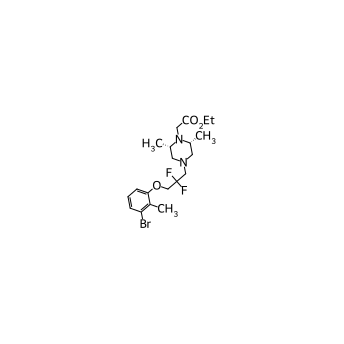 CCOC(=O)CN1[C@H](C)CN(CC(F)(F)COc2cccc(Br)c2C)C[C@@H]1C